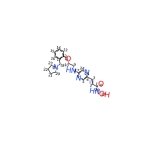 O=C(/C=C/c1cnc(NCCOc2ccccc2CN2CCCC2)cn1)NO